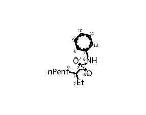 CCCCCC(CC)S(=O)(=O)Nc1ccccc1